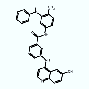 Cc1ccc(NC(=O)c2cccc(Nc3ccnc4ccc(C#N)cc34)c2)cc1Nc1ccccc1